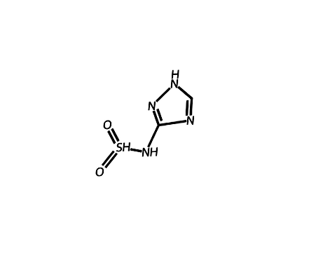 O=[SH](=O)Nc1nc[nH]n1